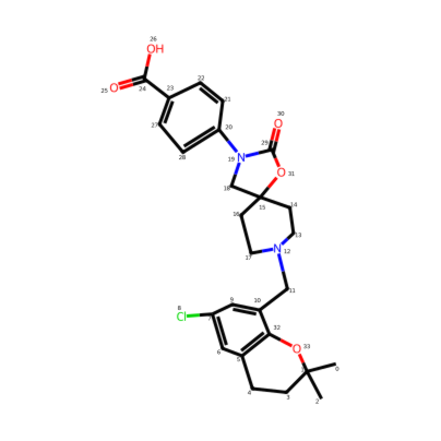 CC1(C)CCc2cc(Cl)cc(CN3CCC4(CC3)CN(c3ccc(C(=O)O)cc3)C(=O)O4)c2O1